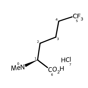 CN[C@@H](CCCC(F)(F)F)C(=O)O.Cl